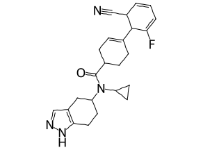 N#CC1C=CC=C(F)C1C1=CCC(C(=O)N(C2CC2)C2CCc3[nH]ncc3C2)CC1